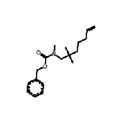 C=CCCCC(C)(C)CN(C)C(=O)OCc1ccccc1